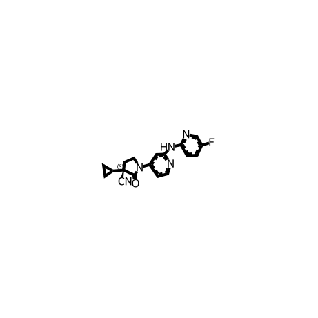 N#C[C@@]1(C2CC2)CCN(c2ccnc(Nc3ccc(F)cn3)c2)C1=O